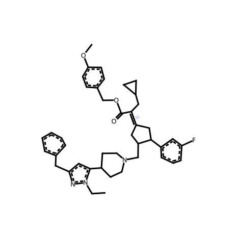 CCn1nc(Cc2ccccc2)cc1C1CCN(CC2C/C(=C(/CC3CC3)C(=O)OCc3ccc(OC)cc3)CC2c2cccc(F)c2)CC1